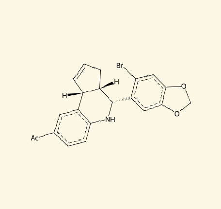 CC(=O)c1ccc2c(c1)[C@@H]1C=CC[C@@H]1[C@H](c1cc3c(cc1Br)OCO3)N2